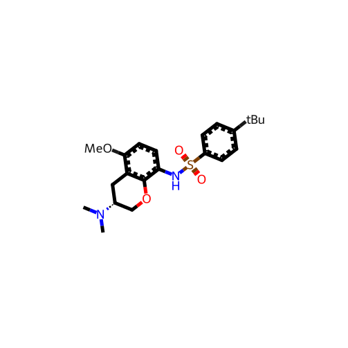 COc1ccc(NS(=O)(=O)c2ccc(C(C)(C)C)cc2)c2c1C[C@@H](N(C)C)CO2